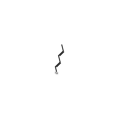 [2H]C=CC=CC